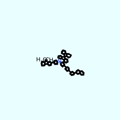 CC1(C)c2ccccc2-c2ccc(-c3ccc(N(c4ccc(-c5ccc(-c6cccc(-c7ccc8ccccc8c7)c6)cc5)cc4)c4cccc5c4-c4ccccc4C5(C4=CCCC=C4)c4ccccc4)cc3)cc21